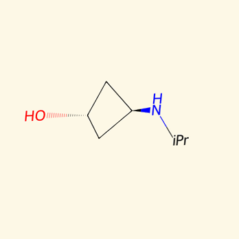 CC(C)N[C@H]1C[C@H](O)C1